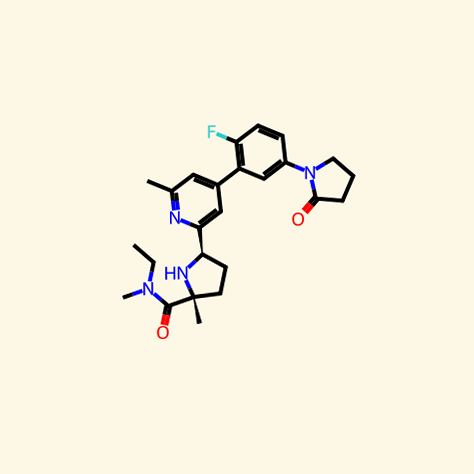 CCN(C)C(=O)[C@@]1(C)CC[C@H](c2cc(-c3cc(N4CCCC4=O)ccc3F)cc(C)n2)N1